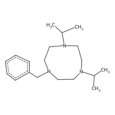 CC(C)N1CCN(Cc2ccccc2)CCN(C(C)C)CC1